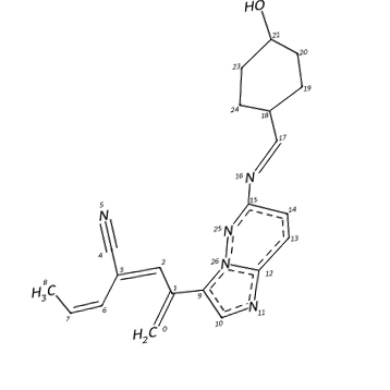 C=C(/C=C(C#N)\C=C/C)c1cnc2ccc(/N=C/C3CCC(O)CC3)nn12